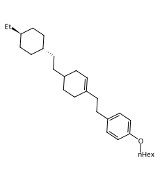 CCCCCCOc1ccc(CCC2=CCC(CC[C@H]3CC[C@H](CC)CC3)CC2)cc1